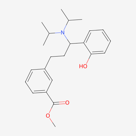 COC(=O)c1cccc(CCC(c2ccccc2O)N(C(C)C)C(C)C)c1